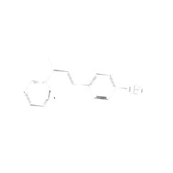 CC(C=Cc1ccc(C(C)(C)C)cc1)c1ccccn1